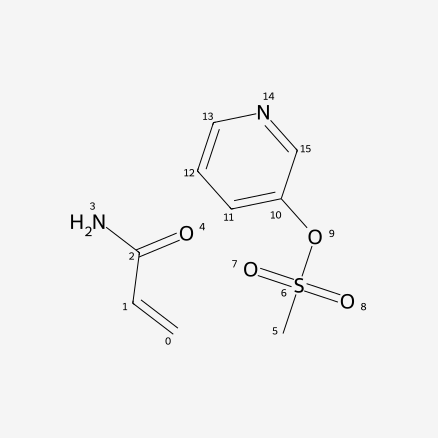 C=CC(N)=O.CS(=O)(=O)Oc1cccnc1